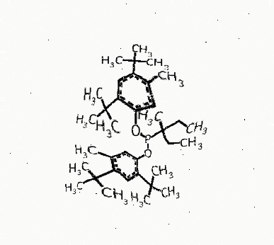 CCC(C)(CC)P(Oc1cc(C)c(C(C)(C)C)cc1C(C)(C)C)Oc1cc(C)c(C(C)(C)C)cc1C(C)(C)C